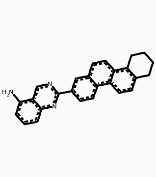 Nc1cccc2nc(-c3ccc4c(ccc5c6c(ccc54)CCCC6)c3)ncc12